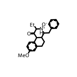 CCC1C(=O)C2c3ccc(OC)cc3CCC2C(Cc2ccccc2)[NH+]1[O-]